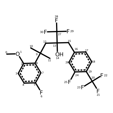 COc1ccc(F)cc1C(C)(C)CC(O)(Cc1ccc(C(F)(F)F)c(F)c1)C(F)(F)F